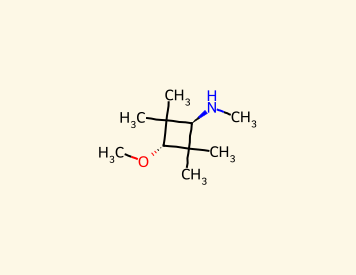 CN[C@H]1C(C)(C)[C@H](OC)C1(C)C